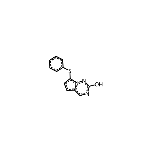 Oc1ncc2ccc(Sc3ccccc3)n2n1